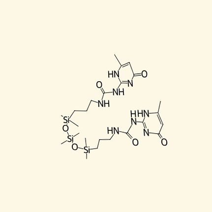 Cc1cc(=O)nc(NC(=O)NCCC[Si](C)(C)O[Si](C)(C)O[Si](C)(C)CCCNC(=O)Nc2nc(=O)cc(C)[nH]2)[nH]1